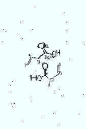 C=CC(C)C(=O)O.C=CCC(=O)O